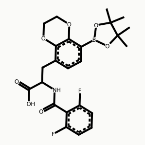 CC1(C)OB(c2ccc(CC(NC(=O)c3c(F)cccc3F)C(=O)O)c3c2OCCO3)OC1(C)C